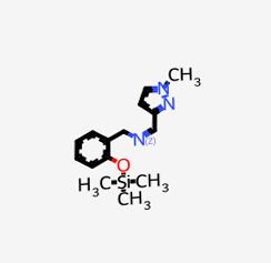 Cn1ccc(/C=N\Cc2ccccc2O[Si](C)(C)C)n1